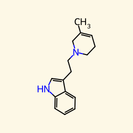 CC1=CCCN(CCc2c[nH]c3ccccc23)C1